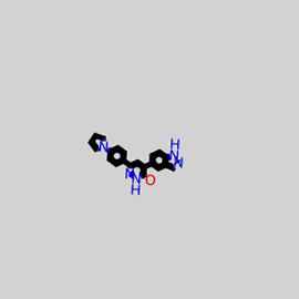 O=c1[nH]nc(-c2ccc(N3C=CCC3)cc2)cc1-c1ccc2[nH]ncc2c1